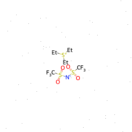 CC[S+](CC)CC.O=S(=O)([N-]S(=O)(=O)C(F)(F)F)C(F)(F)F